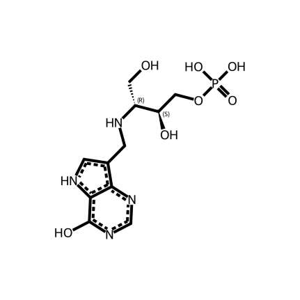 O=P(O)(O)OC[C@@H](O)[C@@H](CO)NCc1c[nH]c2c(O)ncnc12